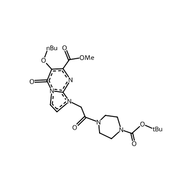 CCCCOc1c(C(=O)OC)nc2n(CC(=O)N3CCN(C(=O)OC(C)(C)C)CC3)ccn2c1=O